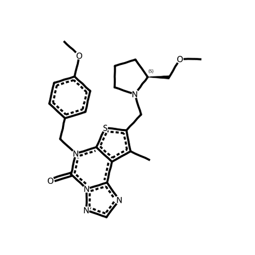 COC[C@@H]1CCCN1Cc1sc2c(c1C)c1ncnn1c(=O)n2Cc1ccc(OC)cc1